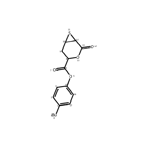 CCC(C)c1ccc(OC(=O)C2CC3SC3C(=O)O2)cc1